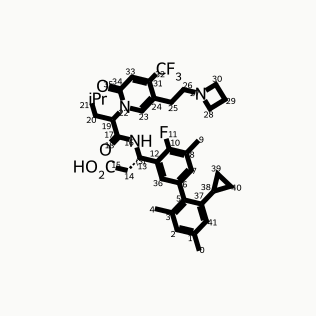 Cc1cc(C)c(-c2cc(C)c(F)c([C@H](CC(=O)O)NC(=O)C(CC(C)C)n3cc(CCN4CCC4)c(C(F)(F)F)cc3=O)c2)c(C2CC2)c1